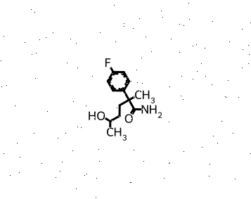 CC(O)CCC(C)(C(N)=O)c1ccc(F)cc1